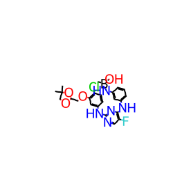 CB(O)Nc1cccc(Nc2nc(Nc3ccc(Cl)c(OCC4OCC(C)(C)O4)c3)ncc2F)c1